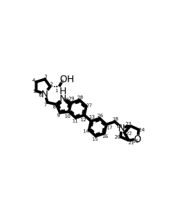 OC[C@H]1CCCN1Cc1cc2cc(-c3cccc(CN4CC5CC4CO5)c3)ccc2[nH]1